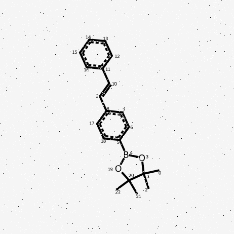 CC1(C)OB(c2ccc(C=Cc3ccccc3)cc2)OC1(C)C